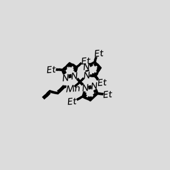 C=CC=[CH][Mn][C](n1nc(CC)cc1CC)(n1nc(CC)cc1CC)n1nc(CC)cc1CC